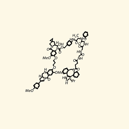 COc1ccc(C2=CN3C(=O)c4cc(OC)c(OCCCOc5cc6c(cc5OC)C(=O)N5CC7(CC7)C[C@H]5C(O)N6C(=O)OCc5ccc(NC(=O)[C@H](C)NC(=O)[C@H](Cc6ccccc6)NC(=O)CNC(=O)CNC(=O)CCC(=O)N6Cc7ccccc7C7=C(c8ccccc86)N(C(C)C)NN7)cc5)cc4NC[C@@H]3C2)cc1